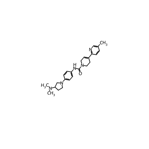 Cc1ccc(C2=CCN(C(=O)Nc3ccc(N4CCC(N(C)C)C4)cc3)CC2)nc1